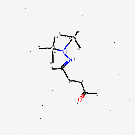 CC(=O)CCC(C)=NN([Si](C)(C)C)[Si](C)(C)C